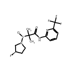 CC(C)(C(=O)Nc1cccc(C(F)(F)F)n1)[S+]([O-])N1CC[C@@H](F)C1